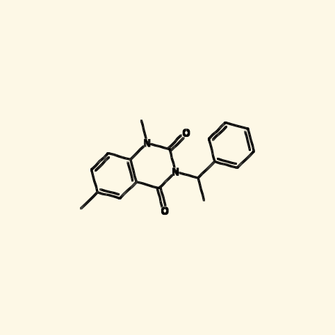 Cc1ccc2c(c1)c(=O)n(C(C)c1ccccc1)c(=O)n2C